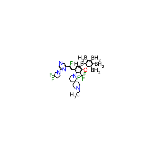 Bc1c(B)c(B)c(Oc2ccc(/C=C(\F)c3cncc(N4CCC(F)(F)C4)n3)c(N3CCCC4(CCN(CC)CC4)C3)c2C(F)(F)F)c(B)c1B